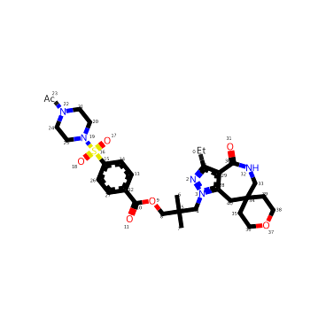 CCc1nn(CC(C)(C)COC(=O)c2ccc(S(=O)(=O)N3CCN(C(C)=O)CC3)cc2)c2c1C(=O)NCC1(CCOCC1)C2